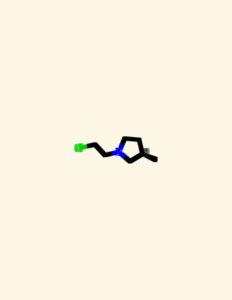 C[C@@H]1CCN(CCCl)C1